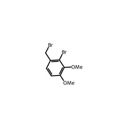 COc1ccc(CBr)c(Br)c1OC